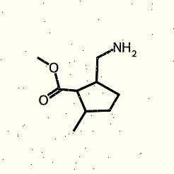 COC(=O)C1C(C)CCC1CN